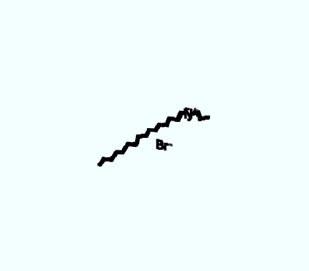 CCCCCCCCCCCCCCCC[N+](C)(C)CCC.[Br-]